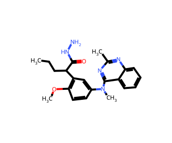 CCCC(C(=O)NN)c1cc(N(C)c2nc(C)nc3ccccc23)ccc1OC